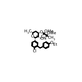 CCOc1ccc(Cc2cc([C@H]3C[C@@H](OC(C)(OC)C(C)(N=O)OC)C[C@@H](C)O3)ccc2Cl)cc1